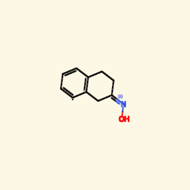 O/N=C1/CCc2ccc[c]c2C1